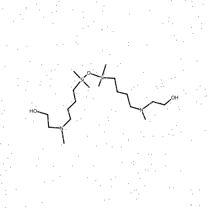 CN(CCO)CCCC[Si](C)(C)O[Si](C)(C)CCCCN(C)CCO